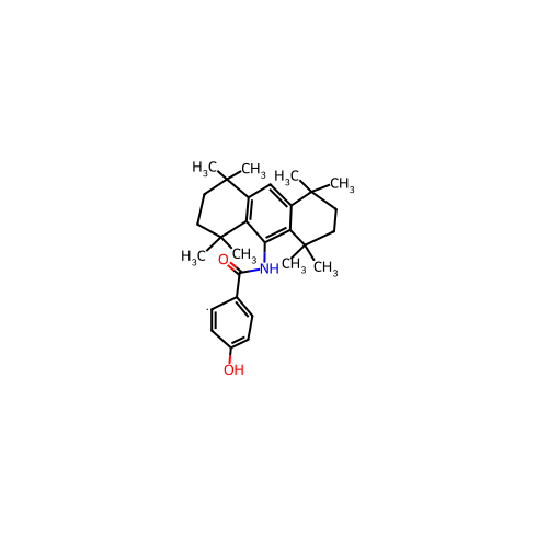 CC1(C)CCC(C)(C)c2c1cc1c(c2NC(=O)c2[c]cc(O)cc2)C(C)(C)CCC1(C)C